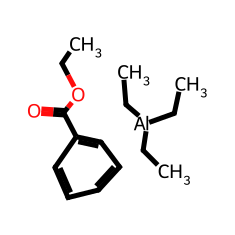 CCOC(=O)c1ccccc1.C[CH2][Al]([CH2]C)[CH2]C